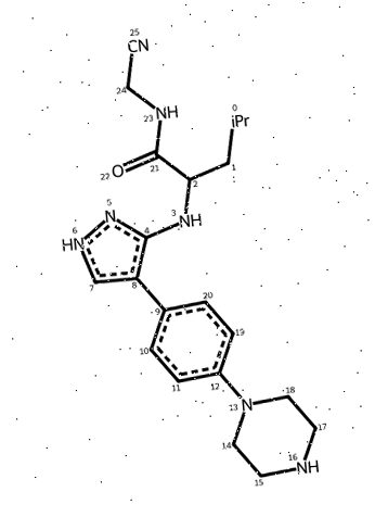 CC(C)CC(Nc1n[nH]cc1-c1ccc(N2CCNCC2)cc1)C(=O)NCC#N